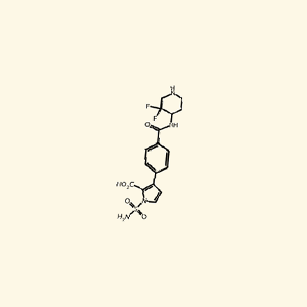 NS(=O)(=O)n1ccc(-c2ccc(C(=O)NC3CCNCC3(F)F)cc2)c1C(=O)O